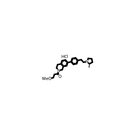 COCCC(=O)N1CCc2ccc(-c3ccc(CCN4CCC[C@H]4C)cc3)cc2C1.Cl